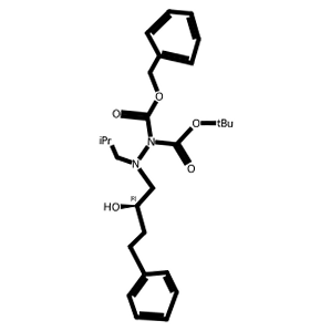 CC(C)CN(C[C@H](O)CCc1ccccc1)N(C(=O)OCc1ccccc1)C(=O)OC(C)(C)C